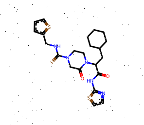 O=C(Nc1nccs1)C(CC1CCCCC1)N1CCN(C(=S)NCc2cccs2)CC1=O